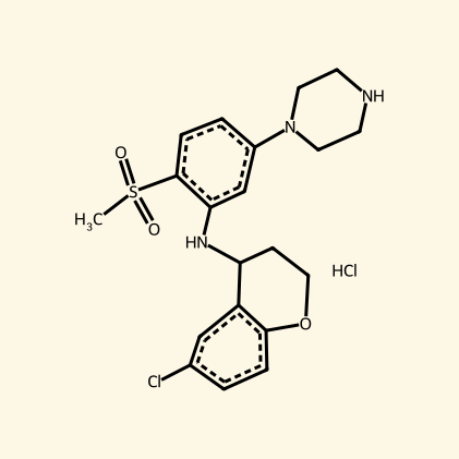 CS(=O)(=O)c1ccc(N2CCNCC2)cc1NC1CCOc2ccc(Cl)cc21.Cl